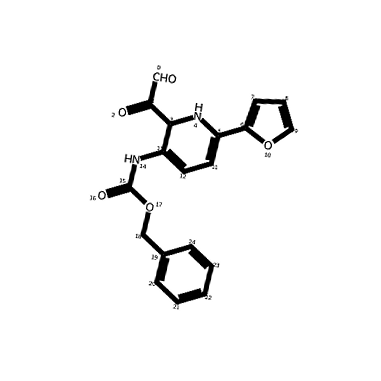 O=CC(=O)C1NC(c2ccco2)=CC=C1NC(=O)OCc1ccccc1